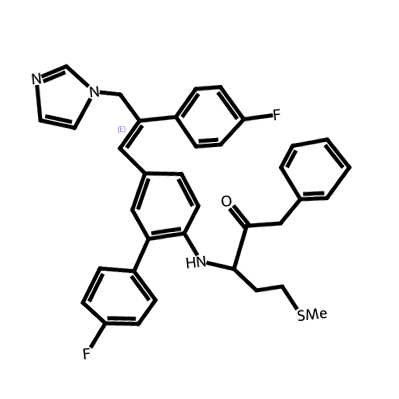 CSCCC(Nc1ccc(/C=C(/Cn2ccnc2)c2ccc(F)cc2)cc1-c1ccc(F)cc1)C(=O)Cc1ccccc1